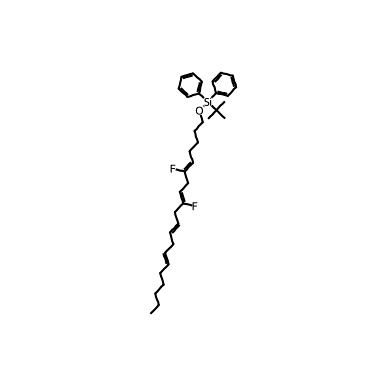 CCCCC/C=C/C/C=C/C/C(F)=C/C/C(F)=C/CCCCO[Si](c1ccccc1)(c1ccccc1)C(C)(C)C